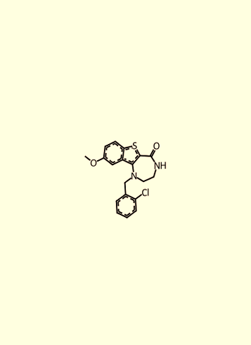 COc1ccc2sc3c(c2c1)N(Cc1ccccc1Cl)CCNC3=O